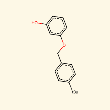 CC(C)(C)c1ccc(COc2cccc(O)c2)cc1